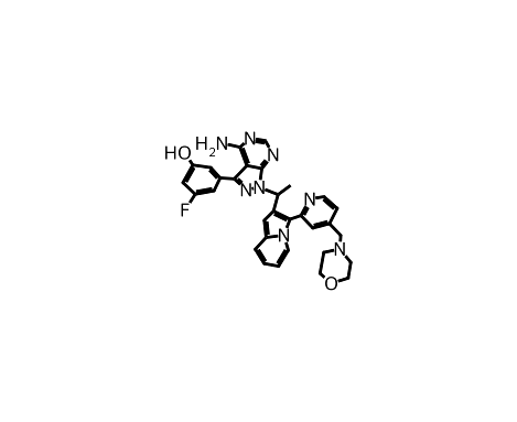 CC(c1cc2ccccn2c1-c1cc(CN2CCOCC2)ccn1)n1nc(-c2cc(O)cc(F)c2)c2c(N)ncnc21